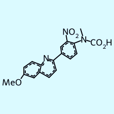 COc1ccc2nc(-c3ccc(N(C)C(=O)O)c([N+](=O)[O-])c3)ccc2c1